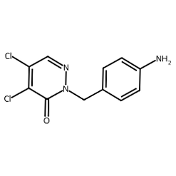 Nc1ccc(Cn2ncc(Cl)c(Cl)c2=O)cc1